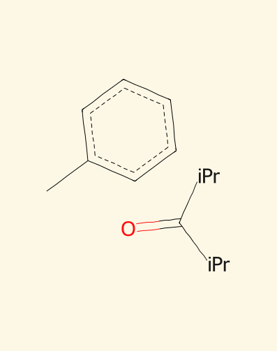 CC(C)C(=O)C(C)C.Cc1ccccc1